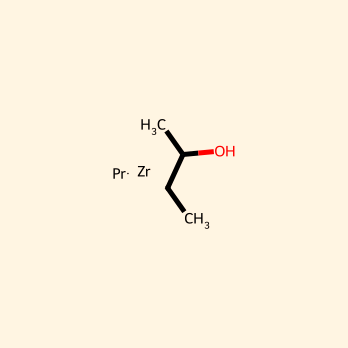 CCC(C)O.[Pr].[Zr]